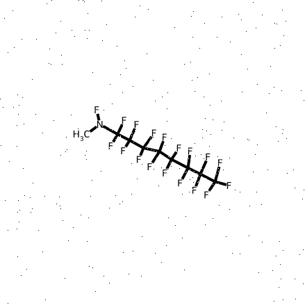 CN(F)C(F)(F)C(F)(F)C(F)(F)C(F)(F)C(F)(F)C(F)(F)C(F)(F)C(F)(F)F